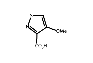 COc1csnc1C(=O)O